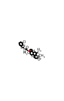 CC1=C2N(C)C(=O)CC[C@]2(C)[C@H]2CC[C@]3(C)[C@@H](CC(=O)Nc4nc5c(Cl)cccc5s4)CC[C@H]3[C@@H]2C1